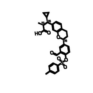 Cc1ccc(S(=O)(=O)Oc2ccc([C@@H]3CCc4ccc([C@H](C5CC5)[C@H](C)C(=O)O)cc4O3)cc2C=O)cc1